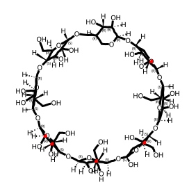 OC[C@H]1O[C@@H]2O[C@H]3[C@H](O)[C@@H](O)[C@@H](O[C@@H]4CO[C@H](O[C@@H]5CO[C@H](O[C@H]6[C@H](O)[C@@H](O)[C@@H](O[C@H]7[C@H](O)C[C@@](O)(O[C@H]8[C@H](O)[C@@H](O)[C@@H](O[C@H]9[C@H](O)[C@@H](O)[C@@H](O[C@H]1[C@H](O)[C@H]2O)O[C@@H]9CO)O[C@@H]8CO)O[C@@H]7CO)O[C@@H]6CO)[C@H](O)[C@H]5O)[C@H](O)[C@H]4O)O[C@@H]3CO